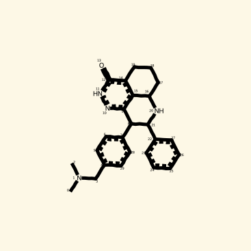 CN(C)Cc1ccc(C2c3n[nH]c(=O)c4c3C(CCC4)NC2c2ccccc2)cc1